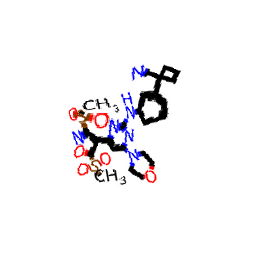 CS(=O)(=O)c1noc(S(C)(=O)=O)c1-c1cc(N2CCOCC2)nc(Nc2cccc(C3(C#N)CCC3)c2)n1